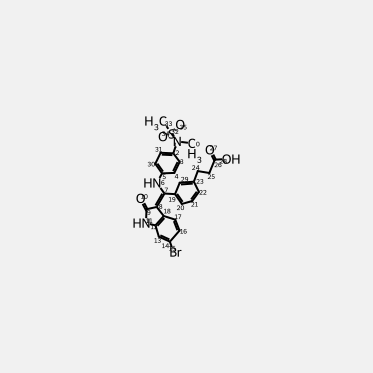 CN(c1ccc(N/C(=C2\C(=O)Nc3cc(Br)ccc32)c2cccc(CCC(=O)O)c2)cc1)S(C)(=O)=O